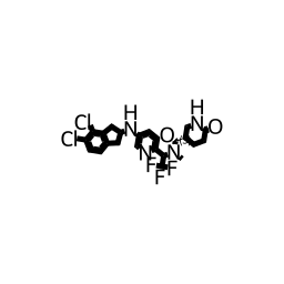 CN(C(=O)[C@H]1CCC(=O)NC1)C(c1ccc(NC2Cc3ccc(Cl)c(Cl)c3C2)cn1)C(F)(F)F